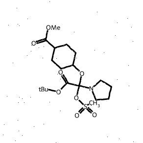 COC(=O)C1CCC(OC(OS(C)(=O)=O)(C(=O)OC(C)(C)C)N2CCCC2)CC1